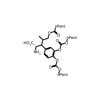 CCCCCOC(=O)Oc1ccc(C(C(C)COC(=O)CCCCC)[C@H](N)C(=O)O)cc1OC(=O)OCCCCC